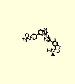 Cc1cc(F)c(C(=O)NC2CC2)cc1-c1cnn(-c2cnc3ccc(C4CCN(CC(=O)N(C)C)CC4)cn23)c1